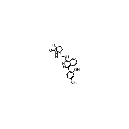 O=C1N[C@]2(CNc3nnc(-c4ccc(C(F)(F)F)cc4O)c4ccncc34)CC[C@H]1C2